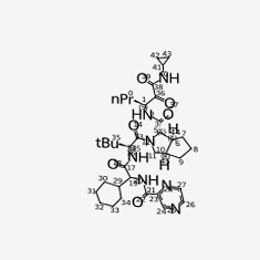 CCC[C@H](NC(=O)[C@@H]1[C@H]2CCC[C@H]2CN1C(=O)[C@@H](NC(=O)C(NC(=O)c1cnccn1)C1CCCCC1)C(C)(C)C)C(=O)C(=O)NC1CC1